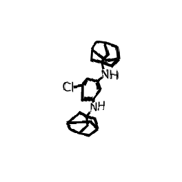 Clc1cc(NC23CC4CC(CC(C4)C2)C3)cc(NC23CC4CC(CC(C4)C2)C3)c1